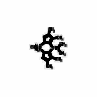 CC1=CC(C)[C]([Ti+2]([C]2=C(C)C(C)=CC2C)=[Si](C)C)=C1C.[Cl-].[Cl-]